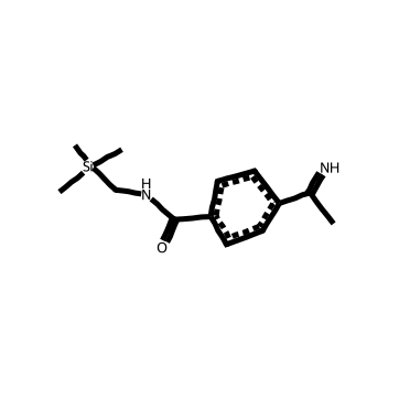 CC(=N)c1ccc(C(=O)NC[Si](C)(C)C)cc1